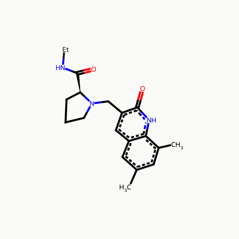 CCNC(=O)[C@@H]1CCCN1Cc1cc2cc(C)cc(C)c2[nH]c1=O